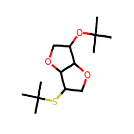 CC(C)(C)OC1COC2C(SC(C)(C)C)COC12